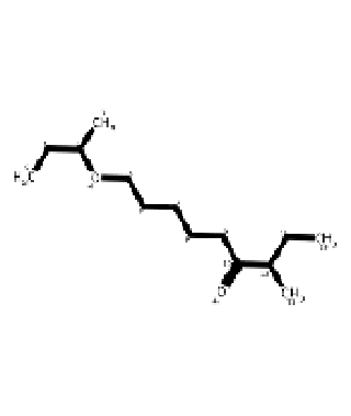 CCC(C)OCCCCCC(=O)C(C)CC